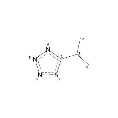 CC(C)c1nnns1